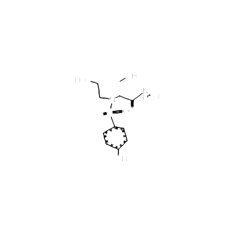 CCCN([C@H](CC)C(=O)NO)S(=O)(=O)c1ccc(O)cc1